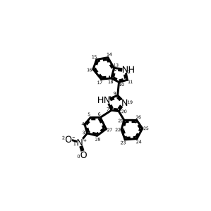 O=[N+]([O-])c1ccc(-c2[nH]c(-c3c[nH]c4ccccc34)nc2-c2ccccc2)cc1